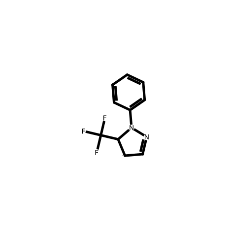 FC(F)(F)C1[CH]C=NN1c1ccccc1